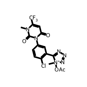 CC(=O)O[N+]1(C)N=NN=C1c1cc(-n2c(=O)cc(C(F)(F)F)n(C)c2=O)ccc1Cl